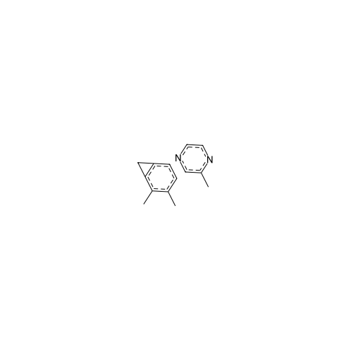 Cc1ccc2c(c1C)C2.Cc1cnccn1